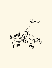 COc1cc2c(cc1C1=C(CN3C(=O)O[C@H](c4cc(C(F)(F)F)cc(C(F)(F)F)c4)[C@@H]3C)CC(C)(C)CC1)CC(C(=O)O)CC2